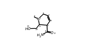 CN1CC=CC(C(N)=O)C1CO